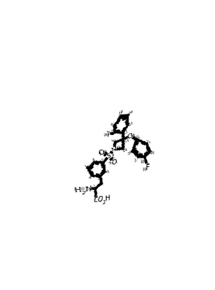 NC(Cc1cccc(S(=O)(=O)N2CC(Oc3ccc(F)cc3)(c3ccccc3F)C2)c1)C(=O)O